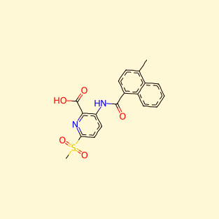 Cc1ccc(C(=O)Nc2ccc(S(C)(=O)=O)nc2C(=O)O)c2ccccc12